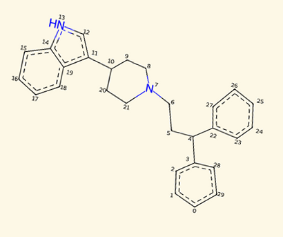 c1ccc(C(CCN2CCC(c3c[nH]c4ccccc34)CC2)c2ccccc2)cc1